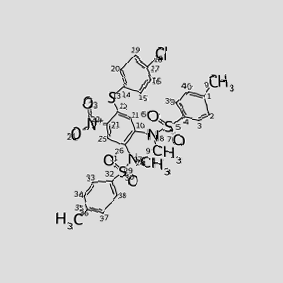 Cc1ccc(S(=O)(=O)N(C)c2cc(Sc3ccc(Cl)cc3)c([N+](=O)[O-])cc2N(C)S(=O)(=O)c2ccc(C)cc2)cc1